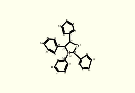 c1ccc(C2OC(c3ccccc3)N(c3ccccc3)C2c2ccccc2)cc1